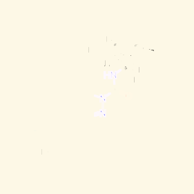 CCCCC1=NN(C(=O)N[C@@H]2C[C@H]3C[C@H]([C@@H]2C)C3(C)C)CC1c1cccc(F)c1